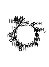 CCCC[C@H]1C(O)N2CCC[C@@H]2C(=O)N[C@@H](CCCNC(=N)N)C(=O)N[C@H](C(=O)NCC(N)=O)CSCC(=O)N[C@@H](Cc2ccc(O)cc2)C(=O)N(C)[C@@H](C)C(=O)N[C@@H](CC(N)=O)C(=O)N2CCC[C@H]2C(=O)N[C@@H](Cc2cnc[nH]2)C(=O)N[C@@H](CC(C)C)C(=O)N2CCC[C@H]2C(=O)N[C@@H](Cc2c[nH]c3ccccc23)C(=O)N[C@@H](CO)C(=O)N[C@@H](Cc2csc3ccccc23)C(=O)N1C